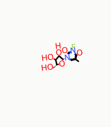 Cc1cn([C@@H]2O[C@H](CO)C(O)C2O)c(=O)n(F)c1=O